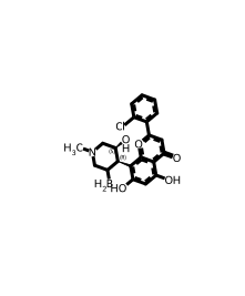 BC1CN(C)C[C@@H](O)[C@H]1c1c(O)cc(O)c2c(=O)cc(-c3ccccc3Cl)oc12